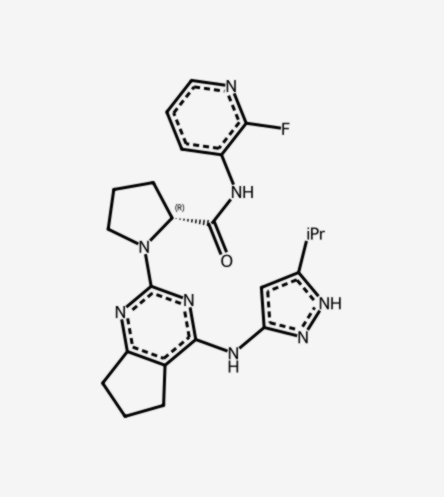 CC(C)c1cc(Nc2nc(N3CCC[C@@H]3C(=O)Nc3cccnc3F)nc3c2CCC3)n[nH]1